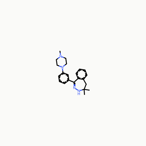 CN1CCN(c2cccc(C3=NNC(C)(C)Cc4ccccc43)c2)CC1